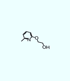 Cc1cccc(OCCO)n1